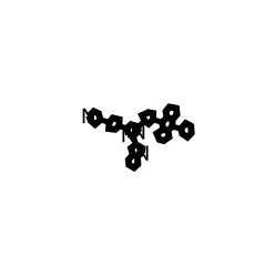 c1ccc(-c2c3ccccc3c(-c3cccc(-c4cc(-c5ccc(-c6ccncc6)cc5)nc(-c5cnc6ccccc6c5)n4)c3)c3ccccc23)cc1